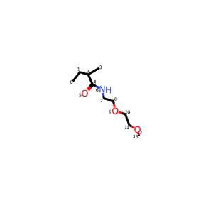 CCC(C)C(=O)NCCOCCOC